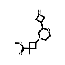 COC(=O)C1(C)CC(N2CCOC(C3CNC3)C2)C1